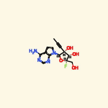 CC#C[C@]1(O)[C@H](n2ccc3c(N)ncnc32)O[C@](F)(CO)[C@H]1O